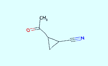 CC(=O)C1CC1C#N